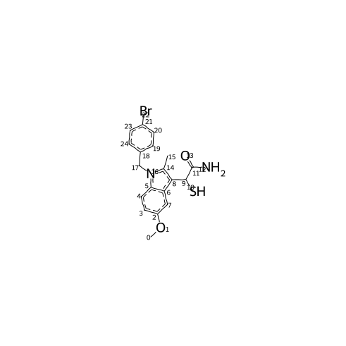 COc1ccc2c(c1)c(C(S)C(N)=O)c(C)n2Cc1ccc(Br)cc1